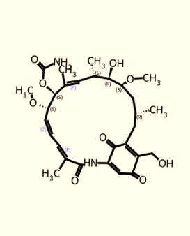 CO[C@H]1/C=C\C=C(/C)C(=O)NC2=CC(=O)C(CO)=C(C[C@@H](C)C[C@H](OC)[C@H](O)[C@@H](C)/C=C(\C)[C@@H]1OC(N)=O)C2=O